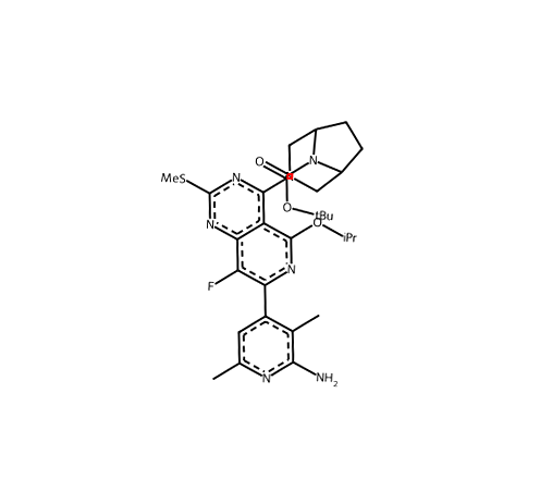 CSc1nc(N2CC3CCC(C2)N3C(=O)OC(C)(C)C)c2c(OC(C)C)nc(-c3cc(C)nc(N)c3C)c(F)c2n1